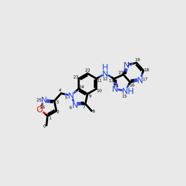 Cc1cc(Cn2nc(C)c3cc(Nc4n[nH]c5nccnc45)ccc32)no1